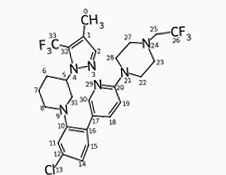 Cc1cnn(C2CCCN(c3cc(Cl)ccc3-c3ccc(N4CCN(CC(F)(F)F)CC4)nc3)C2)c1C(F)(F)F